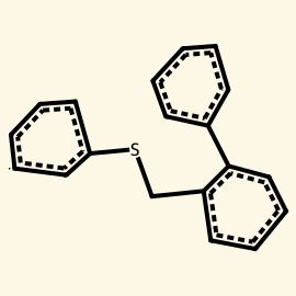 [c]1cccc(SCc2ccccc2-c2ccccc2)c1